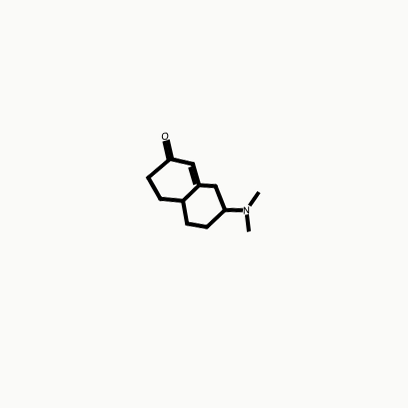 CN(C)C1CCC2CCC(=O)C=C2C1